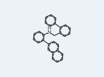 c1ccc(-c2ccccc2CNc2ccccc2-c2ccc3ccccc3c2)cc1